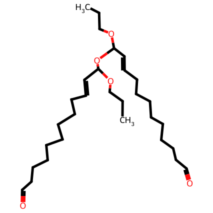 CCCOC(C=CCCCCCCCCC=O)OC(C=CCCCCCCCCC=O)OCCC